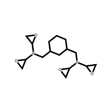 C1CC(CN(C2CO2)C2CO2)CC(CN(C2CO2)C2CO2)C1